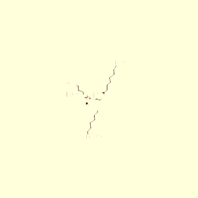 CCCCCCCCCCCCCCCCCC(=O)O[C@H](COCCCCCCCCCCCCCCCC)COP(=O)(O)OC[C@@H](O)CO